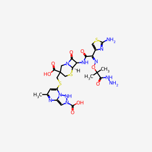 CC1=NC2=CN(C(=O)O)NN2C(SCC2(C(=O)O)CS[C@@H]3C(NC(=O)C(=NOC(C)(C)C(=O)NN)c4csc(N)n4)C(=O)N3C2)=C1